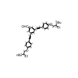 CCCCC(CC)COc1ccc(C#Cc2cc(C#Cc3ccc(OCC(CC)CCCC)cc3)cc(C=O)c2)cc1